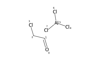 O=[C]CCl.[Cl][Al]([Cl])[Cl]